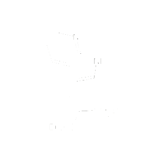 CCOC(=O)C(Cc1c[nH]c2ncccc12)C(=O)OCC